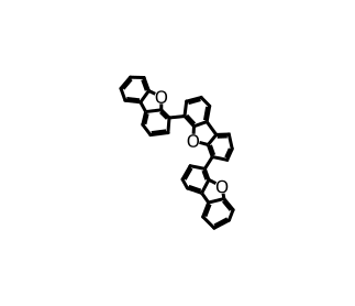 c1ccc2c(c1)oc1c(-c3cccc4c3oc3c(-c5cccc6c5oc5ccccc56)cccc34)cccc12